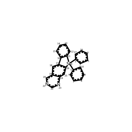 c1ccc([Si]2(c3ccccc3)c3ccccc3-c3cc4cncnc4cc32)cc1